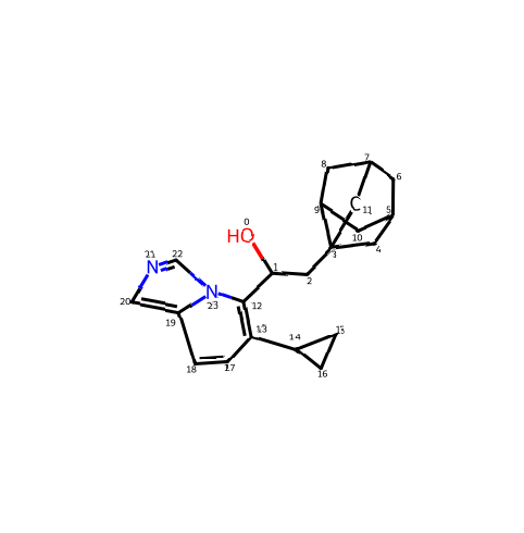 OC(CC12CC3CC(CC1C3)C2)c1c(C2CC2)ccc2cncn12